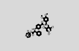 COc1ccc([C@H](Cc2c(Cl)c[n+]([O-])cc2Cl)OC(=O)c2ccc(NC(C(=O)O[C@H]3CN4CCC3CC4)c3ccccc3)cc2)cc1OC